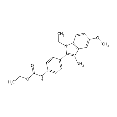 CCOC(=O)Nc1ccc(-c2c(N)c3cc(OC)ccc3n2CC)cc1